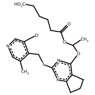 Cc1cncc(Cl)c1CSc1nc2c(c(OC(C)OC(=O)CCCCC(=O)O)n1)CCC2